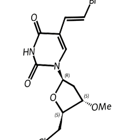 CO[C@H]1C[C@H](n2cc(C=CBr)c(=O)[nH]c2=O)O[C@@H]1CCl